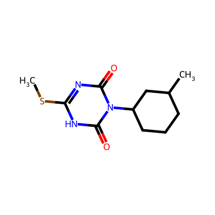 CSc1nc(=O)n(C2CCCC(C)C2)c(=O)[nH]1